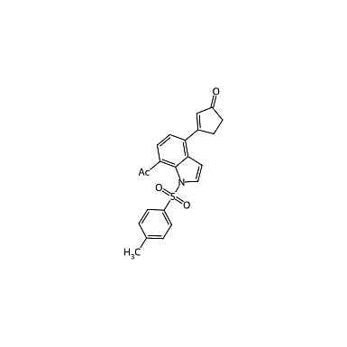 CC(=O)c1ccc(C2=CC(=O)CC2)c2ccn(S(=O)(=O)c3ccc(C)cc3)c12